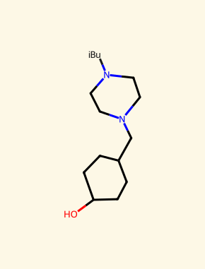 CCC(C)N1CCN(CC2CCC(O)CC2)CC1